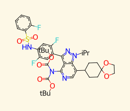 CC(C)n1nc(-c2cc(F)c(NS(=O)(=O)c3ccccc3F)cc2F)c2c(N(C(=O)OC(C)(C)C)C(=O)OC(C)(C)C)ncc(C3CCC4(CC3)OCCO4)c21